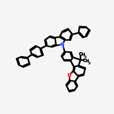 CC1(C)c2cc(-n3c4cc(-c5ccccc5)ccc4c4ccc(-c5ccc(-c6ccccc6)cc5)cc43)ccc2-c2c1ccc1c2oc2ccccc21